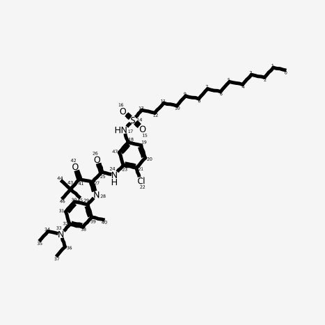 CCCCCCCCCCCCCCS(=O)(=O)Nc1ccc(Cl)c(NC(=O)C(=Nc2ccc(N(CC)CC)cc2C)C(=O)C(C)(C)C)c1